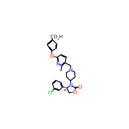 Cc1nc(Oc2ccc(C(=O)O)cc2)ccc1CN1CCC(N2C(=O)OC[C@H]2c2cccc(Cl)c2)CC1